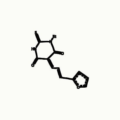 CCN1C(=O)/C(=C\C=C\c2ccco2)C(=O)NC1=S